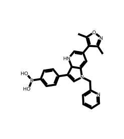 Cc1noc(C)c1C1=CNC2C(c3ccc(B(O)O)cc3)=CN(Cc3ccccn3)C2=C1